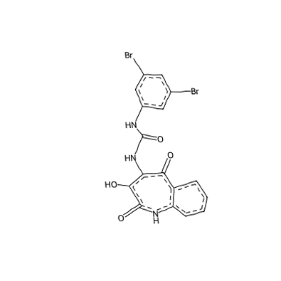 O=C(Nc1cc(Br)cc(Br)c1)Nc1c(O)c(=O)[nH]c2ccccc2c1=O